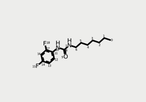 CCCCCCCNC(=O)Nc1ccc(F)cc1F